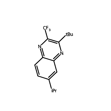 CC(C)c1ccc2nc(C(F)(F)F)c(C(C)(C)C)nc2c1